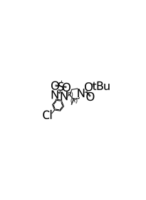 C[C@@H]1CN(C(=O)OC(C)(C)C)CC[C@H]1n1c(S(C)(=O)=O)nc2cc(Cl)ccc21